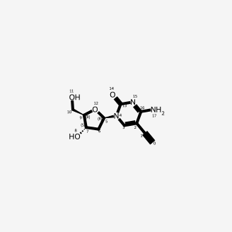 C#Cc1cn([C@H]2C[C@H](O)[C@@H](CO)O2)c(=O)nc1N